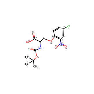 CC(C)(C)OC(=O)NC(COc1ccc(Cl)cc1[N+](=O)[O-])C(=O)O